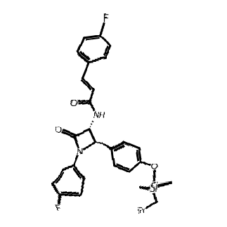 CC(C)C[Si](C)(C)Oc1ccc([C@@H]2[C@@H](NC(=O)/C=C/c3ccc(F)cc3)C(=O)N2c2ccc(F)cc2)cc1